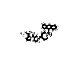 NC(=O)C1CCCN1C(=O)C1CCCN(C2CCN(C(=O)c3c4ccccc4cc4ccccc34)CC2)C1